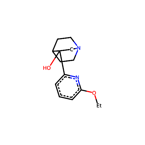 CCOc1cccc(C2(O)CN3CCC2CC3)n1